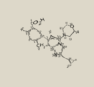 Cc1cc(F)c(C(=O)O)cc1-c1cc(N2CCOCC2)n2nc(C3CC3)nc2c1